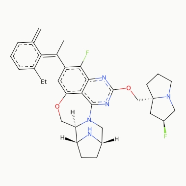 C=c1cccc(CC)/c1=C(/C)c1cc2c3c(nc(OC[C@]45CCCN4C[C@@H](F)C5)nc3c1F)N1C[C@@H]3CC[C@@H](N3)[C@H]1CO2